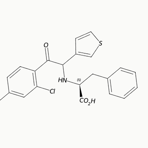 O=C(c1ccc(Cl)cc1Cl)C(N[C@@H](Cc1ccccc1)C(=O)O)c1ccsc1